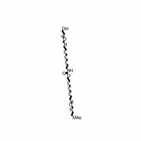 CSCC/N=C/OOCCSCSCSCCOC(=O)NCCSCSCSCC/N=C/OOCCO